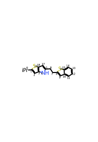 CC(C)c1cc2[nH]c(CCc3cc4ccccc4s3)cc2s1